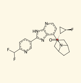 O=C([C@@H]1C[C@H]1F)N1C2CCC1CN(c1ccnc3[nH]c(-c4ccc(C(F)F)nc4)nc13)C2